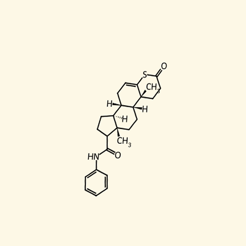 C[C@]12CCC(=O)SC1=CC[C@@H]1[C@H]2CC[C@]2(C)C(C(=O)Nc3ccccc3)CC[C@@H]12